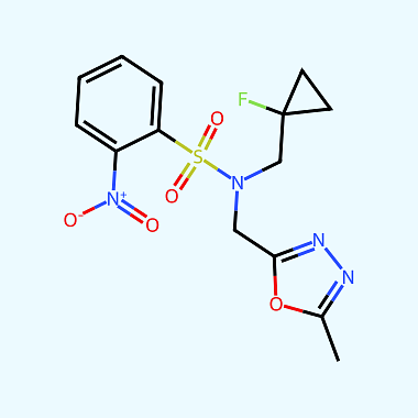 Cc1nnc(CN(CC2(F)CC2)S(=O)(=O)c2ccccc2[N+](=O)[O-])o1